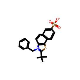 CC(C)(C)c1sc2c3ccc(S(=O)(=O)[O-])cc3ccc2[n+]1Cc1ccccc1